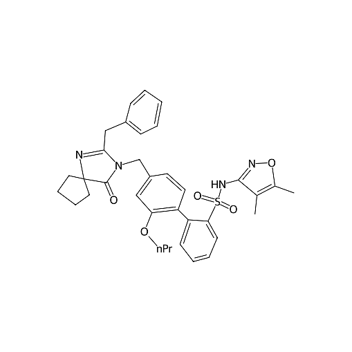 CCCOc1cc(CN2C(=O)C3(CCCC3)N=C2Cc2ccccc2)ccc1-c1ccccc1S(=O)(=O)Nc1noc(C)c1C